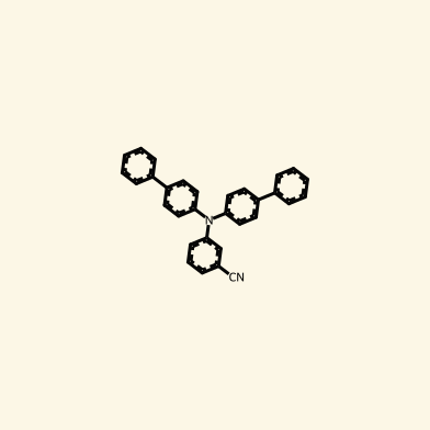 N#Cc1cccc(N(c2ccc(-c3ccccc3)cc2)c2ccc(-c3ccccc3)cc2)c1